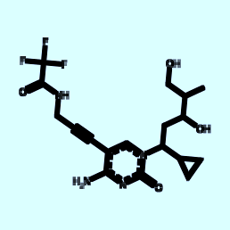 CC(CO)C(O)CC(C1CC1)n1cc(C#CCNC(=O)C(F)(F)F)c(N)nc1=O